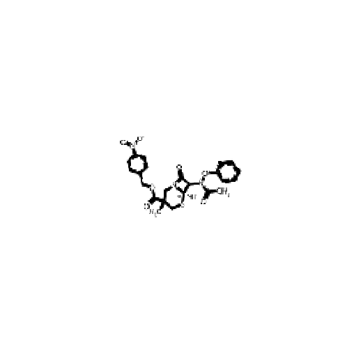 CC(=O)N(Oc1ccccc1)C1C(=O)N2CC(C)(C(=O)OCc3ccc([N+](=O)[O-])cc3)CS[C@H]12